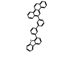 c1cc(-c2cccc(-c3cccc4c3sc3ccccc34)c2)cc(-c2cc3c4ccccc4ccc3c3ccccc23)c1